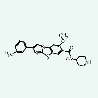 COc1cc2c(cc1C(=O)NC1CCNCC1)sc1nc(-c3cccc(C)c3)cn12